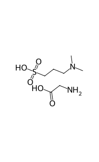 CN(C)CCCS(=O)(=O)O.NCC(=O)O